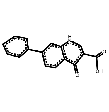 O=C(O)c1c[nH]c2cc(-c3ccccc3)ccc2c1=O